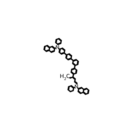 C=C/C(=C\C=C\N(C1=CC=CCC1)c1ccc2ccccc2c1)c1ccc(-c2cccc(-c3ccc(-c4ccc(N(c5ccccc5)c5ccc6ccccc6c5)cc4)cc3)c2)cc1